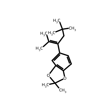 CC(C)=C(CC(C)(C)C)c1ccc2c(c1)OC(C)(C)O2